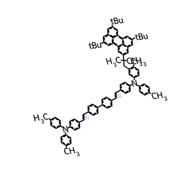 Cc1ccc(N(c2ccc(C)cc2)c2ccc(/C=C/c3ccc(-c4ccc(/C=C/c5ccc(N(c6ccc(C)cc6)c6ccc(C)c(CC(C)(C)c7cc8cc(C(C)(C)C)cc9c%10cc(C(C)(C)C)cc%11cc(C(C)(C)C)cc(c(c7)c89)c%11%10)c6)cc5)cc4)cc3)cc2)cc1